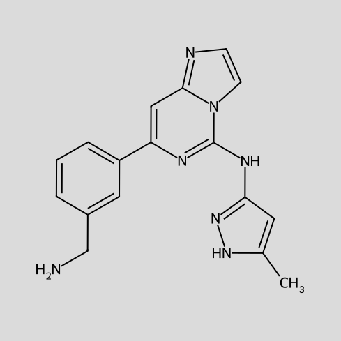 Cc1cc(Nc2nc(-c3cccc(CN)c3)cc3nccn23)n[nH]1